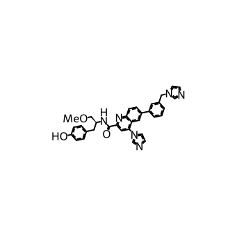 COC[C@H](Cc1ccc(O)cc1)NC(=O)c1cc(-n2ccnc2)c2cc(-c3cccc(Cn4ccnc4)c3)ccc2n1